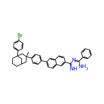 CC1(c2ccc(-c3ccc4cc(C(=N)/N=C(\N)c5ccccc5)ccc4c3)cc2)CC2CCCC(c3ccc(Br)cc3)(C2)C1